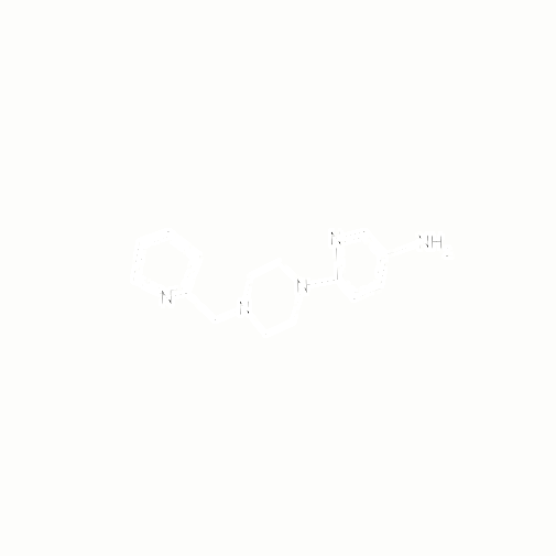 Nc1ccc(N2CCN(Cc3ccccn3)CC2)nc1